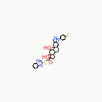 CC12Cc3cnn(-c4ccc(F)cc4)c3C=C1CCC1C2[C@@H](O)CC2(C)C1CC[C@]2(O)C(=O)CSc1cnc2ccccc2n1